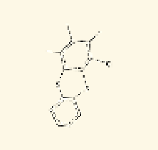 Cc1c(C)c(Cl)c2c(c1C)Sc1ccccc1S2